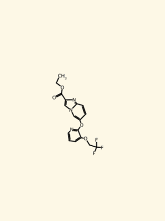 CCOC(=O)c1cn2cc(Oc3ncccc3OCC(F)(F)F)ccc2n1